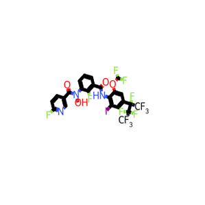 O=C(Nc1c(I)cc(C(F)(C(F)(F)F)C(F)(F)C(F)(F)F)cc1OC(F)F)c1cccc(N(O)C(=O)c2ccc(F)nc2)c1F